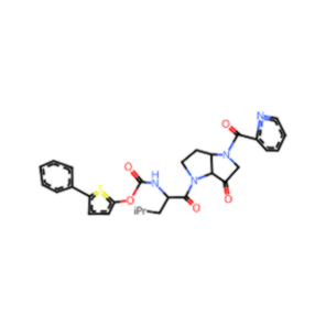 CC(C)CC(NC(=O)Oc1ccc(-c2ccccc2)s1)C(=O)N1CCC2C1C(=O)CN2C(=O)c1ccccn1